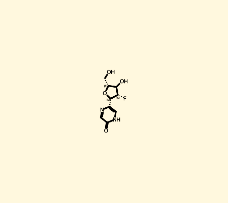 O=c1cnc([C@@H]2O[C@H](CO)C(O)[C@@H]2F)c[nH]1